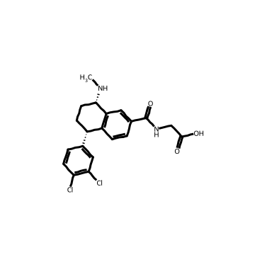 CN[C@H]1CC[C@@H](c2ccc(Cl)c(Cl)c2)c2ccc(C(=O)NCC(=O)O)cc21